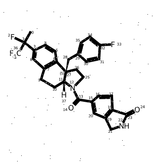 CC(F)(c1ccc2c(c1)CC[C@H]1N(C(=O)c3ccc4c(c3)CNC4=O)CC[C@@]21Cc1ccc(F)cc1)C(F)(F)F